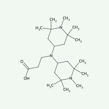 CN1C(C)(C)CC(N(CCC(=O)O)C2CC(C)(C)N(C)C(C)(C)C2)CC1(C)C